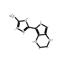 Cc1nnc(-c2scc3c2OCCO3)o1